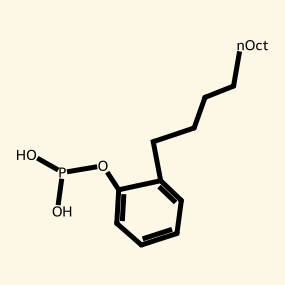 CCCCCCCCCCCCc1ccccc1OP(O)O